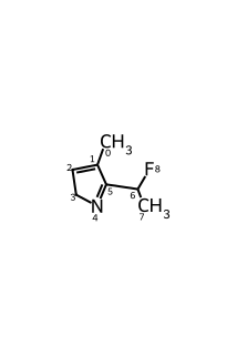 CC1=CCN=C1C(C)F